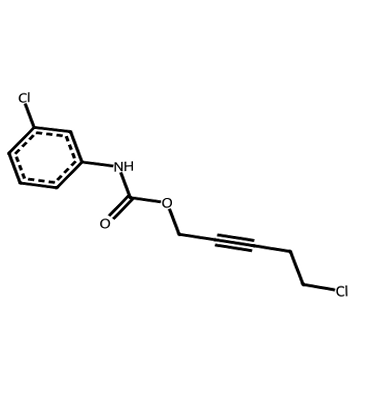 O=C(Nc1cccc(Cl)c1)OCC#CCCCl